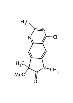 COC1(C)C(=O)N(C)c2cc3c(Cl)nc(C)nc3cc21